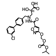 CC(C)OC(=O)OCOc1cc(C(=O)NN(Cc2ccc(-c3cccc(Cl)c3)cc2)C[C@@H](O)C(=O)O)on1